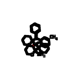 C.C[Si](C)(C1([SiH](c2ccccc2)c2ccccc2)CCCCO1)C1(C2([SiH3])CCCCO2)CCCCO1